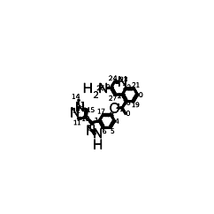 CC(Oc1ccc2[nH]nc(-c3cnn(C)c3)c2c1)c1cccc2ncc(N)cc12